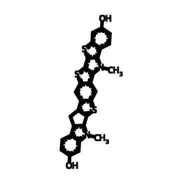 Cn1c2c(c3ccc(O)cc31)Cc1c-2sc2cc3c(cc12)sc1c2sc4cc(O)ccc4c2n(C)c31